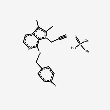 C#CCn1c(C)c(C)c2ccnc(OCc3ccc(F)cc3)c21.O=P(O)(O)O